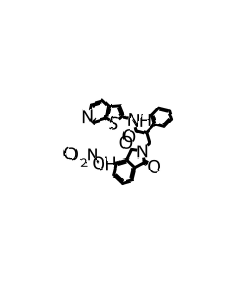 O=C(Nc1cc2ccncc2s1)C(CN1C(=O)c2ccccc2C1=O)c1ccccc1.O=[N+]([O-])O